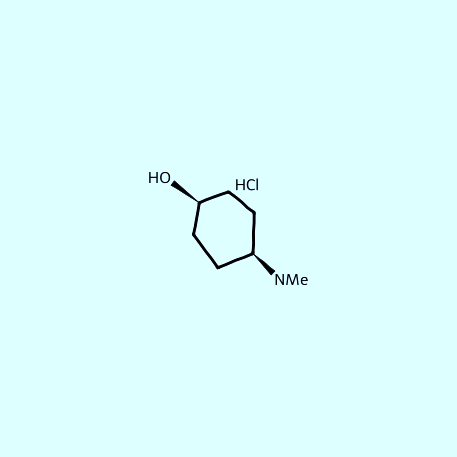 CN[C@H]1CC[C@@H](O)CC1.Cl